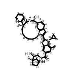 C[C@H]1NC(=O)[C@](F)(c2ccccn2)CCCCCCn2c(-c3nc4cc(C(=O)N5C[C@H](N)[C@H]6CC[C@@H]5C6)cc(F)c4n3C3CC3)cc3ccc1nc32